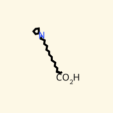 CC(=CCCCCCCCCCCCCN=C1CCCC1)C(=O)O